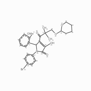 COc1ccccc1C1C(C(=O)C(C)(C)COC2CCCCO2)=C(O)C(=O)N1c1ccc(Br)cc1